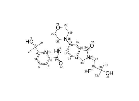 CC(C)(O)c1cccc(C(=O)Nc2cc3c(cc2N2CCOCC2)C(=O)N(C[C@@H](F)C(C)(C)O)C3)n1